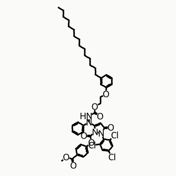 CCCCCCCCCCCCCCCc1cccc(OCCOC(=O)NN(c2ccccc2)c2cc(=O)n(-c3c(Cl)cc(Cl)cc3Cl)n2C(=O)Oc2ccc(C(=O)OC)cc2)c1